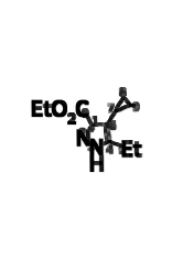 CCOC(=O)c1n[nH]c(CC)c1C1CC1